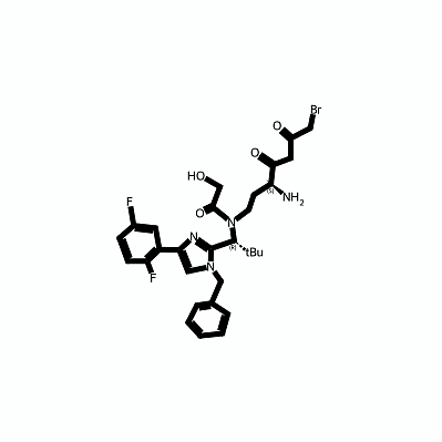 CC(C)(C)[C@H](c1nc(-c2cc(F)ccc2F)cn1Cc1ccccc1)N(CC[C@H](N)C(=O)CC(=O)CBr)C(=O)CO